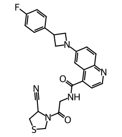 N#CC1CSCN1C(=O)CNC(=O)c1ccnc2ccc(N3CC(c4ccc(F)cc4)C3)cc12